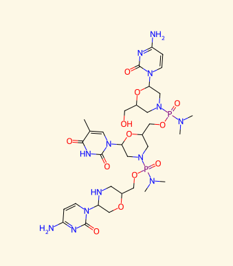 Cc1cn(C2CN(P(=O)(OCC3CNC(n4ccc(N)nc4=O)CO3)N(C)C)CC(COP(=O)(N(C)C)N3CC(CO)OC(n4ccc(N)nc4=O)C3)O2)c(=O)[nH]c1=O